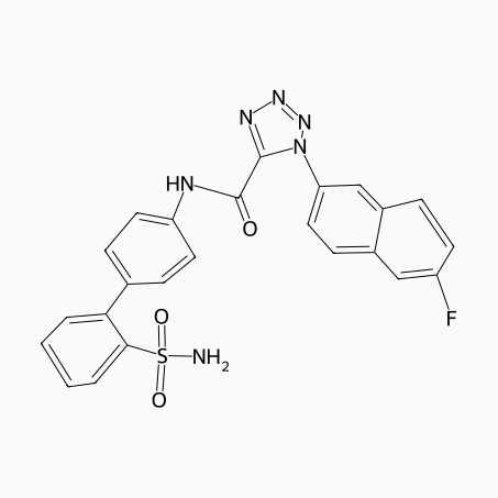 NS(=O)(=O)c1ccccc1-c1ccc(NC(=O)c2nnnn2-c2ccc3cc(F)ccc3c2)cc1